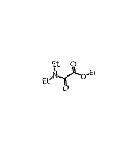 CCOC(=O)C(=O)N(CC)CC